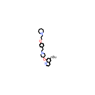 CCCCc1cc(OC2CCN(CCc3ccc(OCCCN4CCCCCC4)cc3)CC2)c2ncccc2c1